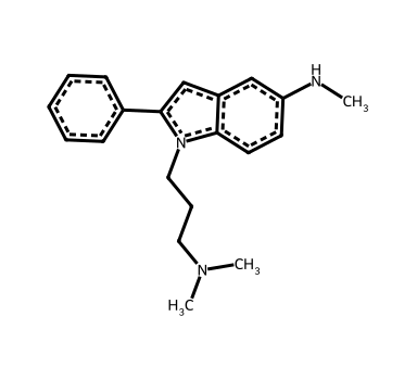 CNc1ccc2c(c1)cc(-c1ccccc1)n2CCCN(C)C